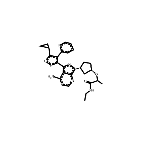 CCNC(=O)C(C)O[C@@H]1CC[C@H](n2nc(-c3noc(C4CC4)c3-c3ccccn3)c3c(N)ncnc32)C1